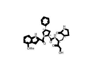 COc1cccc2[nH]c(C(=O)N3C[C@H](c4ccccc4)C[C@H]3C(=O)N[C@@H](C[C@@H]3CCNC3=O)C(=O)CO)cc12